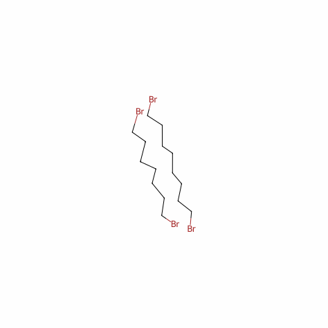 BrCCCCCCCBr.BrCCCCCCCCBr